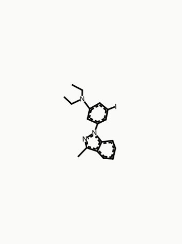 CCN(CC)c1cc(I)cc(-n2nc(C)c3ccccc32)c1